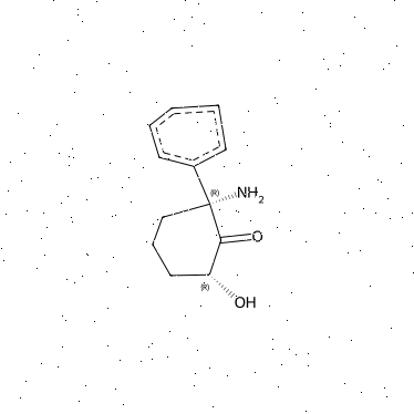 N[C@@]1(c2ccccc2)CCC[C@@H](O)C1=O